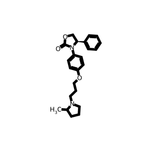 CC1CCCN1CCCOc1ccc(N2C(=O)OC[C@H]2c2ccccc2)cc1